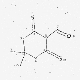 CC1(C)CC(=S)C(C=O)C(=S)C1